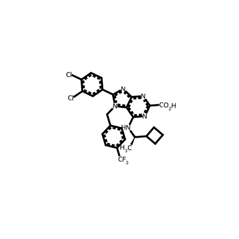 C[C@@H](Nc1nc(C(=O)O)nc2nc(-c3ccc(Cl)c(Cl)c3)n(Cc3ccc(C(F)(F)F)cc3)c12)C1CCC1